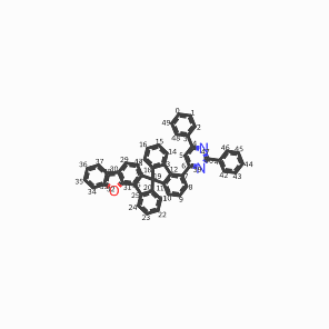 c1ccc(-c2cc(-c3cccc4c3-c3ccccc3C43c4ccccc4-c4c3ccc3c4oc4ccccc43)nc(-c3ccccc3)n2)cc1